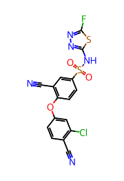 N#Cc1ccc(Oc2ccc(S(=O)(=O)Nc3nnc(F)s3)cc2C#N)cc1Cl